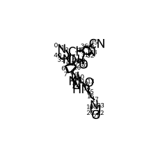 CN1CCN(c2ccc(-n3cc(C(=O)NCCCN4CCOCC4)nn3)cc2NC(=O)c2cnc(C#N)cc2Cl)CC1